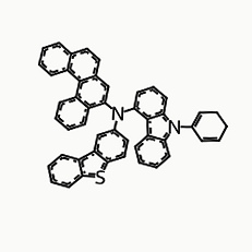 C1=CC(n2c3ccccc3c3c(N(c4ccc5sc6ccccc6c5c4)c4cc5ccc6ccccc6c5c5ccccc45)cccc32)=CCC1